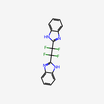 FC(F)(c1nc2ccccc2[nH]1)C(F)(F)c1nc2ccccc2[nH]1